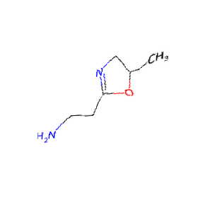 CC1CN=C(CCN)O1